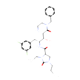 CCCN1CC(C(=O)N[C@@H](Cc2cc(F)cc(F)c2)[C@H](O)[C@@H]2NCCN(Cc3ccccc3)C2=O)N(CC)C1=O